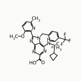 COc1ccc(C)nc1-c1nc2nc(C(=O)O)nc(N[C@H](C)C3CCC3)c2n1Cc1ccc(C(F)(F)F)cc1